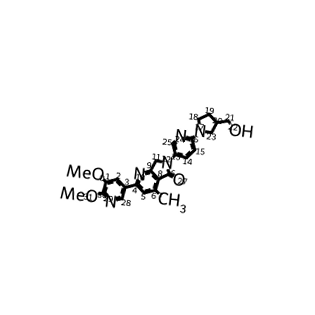 COc1cc(-c2cc(C)c3c(n2)CN(c2ccc(N4CCC(CO)C4)nc2)C3=O)cnc1OC